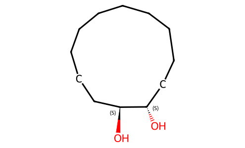 O[C@H]1CCCCCCCCCC[C@@H]1O